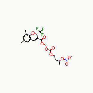 Cc1cc(C)c2c(c1)C=C(C(=O)OCOC(=O)OCCC(C)O[N+](=O)[O-])[C@@H](C(F)(F)F)O2